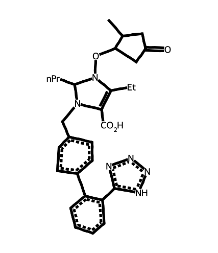 CCCC1N(Cc2ccc(-c3ccccc3-c3nnn[nH]3)cc2)C(C(=O)O)=C(CC)N1OC1CC(=O)CC1C